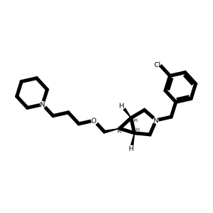 Clc1cccc(CN2C[C@@H]3[C@@H](COCCCN4CCCCC4)[C@@H]3C2)c1